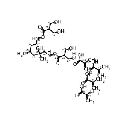 C=C(C)C(=O)O.C=C(C)C(=O)O.C=C(C)C(=O)O.C=C(C)C(=O)O.CC(CCNOC(=O)C(CO)CO)CC(C)(C)CNOC(=O)C(CO)CO